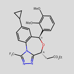 CCOC(=O)C[C@H]1O[C@H](c2cccc(OC)c2OC)c2cc(C3CC3)ccc2-n2c1nnc2C(F)(F)F